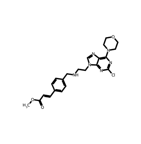 COC(=O)C=Cc1ccc(CNCCn2cnc3c(N4CCOCC4)nc(Cl)nc32)cc1